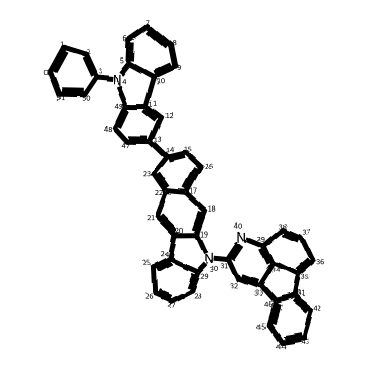 c1ccc(-n2c3ccccc3c3cc(-c4ccc5cc6c(cc5c4)c4ccccc4n6-c4cc5c6c(cccc6n4)-c4ccccc4-5)ccc32)cc1